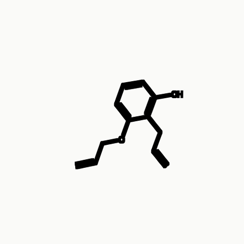 C=CCOc1cccc(O)c1CC=C